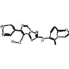 Cc1c(Nc2nc3c(OC(C)C)c(-c4cn[nH]c4)ncn3n2)ccc2nccn12